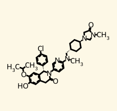 CC(C)Oc1cc2c(cc1O)CC(=O)N(c1ccc(N(C)C[C@H]3CC[C@H](N4CC(=O)N(C)C4)CC3)nc1)[C@H]2c1ccc(Cl)cc1